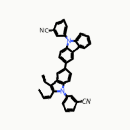 C=Cc1c(/C=C\C)n(-c2cccc(C#N)c2)c2ccc(-c3ccc4c(c3)c3ccccc3n4-c3cccc(C#N)c3)cc12